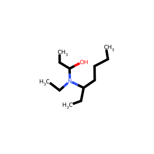 CCCCC(CC)N(CC)C(O)CC